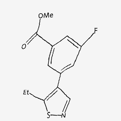 CCc1sncc1-c1cc(F)cc(C(=O)OC)c1